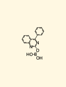 OB(O)Oc1nc(-c2ccccc2)c2ccccc2n1